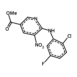 COC(=O)c1cnc(Nc2cc(F)ccc2Cl)c([N+](=O)[O-])c1